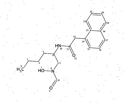 CCCCC(CN(O)C=O)NC(=O)Cc1cccc2ccccc12